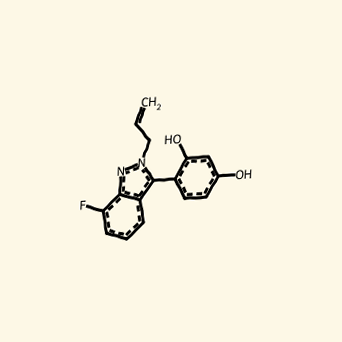 C=CCn1nc2c(F)cccc2c1-c1ccc(O)cc1O